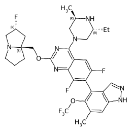 CC[C@@H]1CN(c2nc(OC[C@@]34CCCN3C[C@H](F)C4)nc3c(F)c(-c4c(OC(F)(F)F)c(C)cc5[nH]ncc45)c(F)cc23)C[C@@H](C)N1